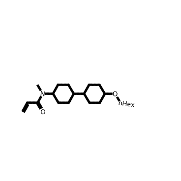 C=CC(=O)N(C)C1CCC(C2CCC(OCCCCCC)CC2)CC1